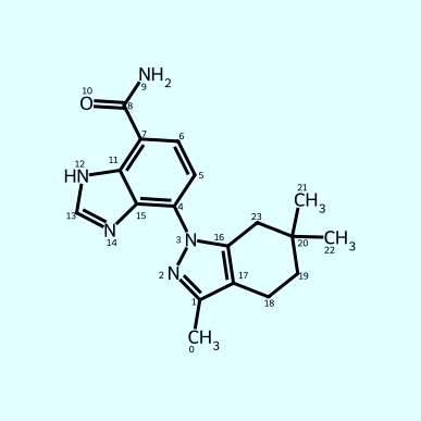 Cc1nn(-c2ccc(C(N)=O)c3[nH]cnc23)c2c1CCC(C)(C)C2